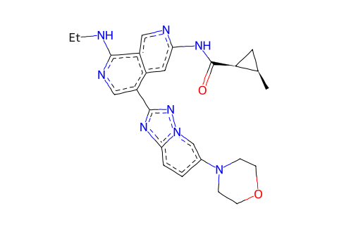 CCNc1ncc(-c2nc3ccc(N4CCOCC4)cn3n2)c2cc(NC(=O)[C@H]3C[C@H]3C)ncc12